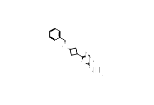 Nc1nnc(C2CC(OCc3ccccc3)C2)s1